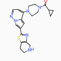 O=C(C1CC1)N1CCN(c2ccnn3cc(-c4nc5c(s4)CCNC5)cc23)CC1